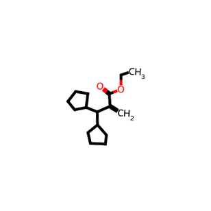 C=C(C(=O)OCC)C(C1CCCC1)C1CCCC1